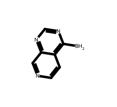 Bc1ncnc2cnccc12